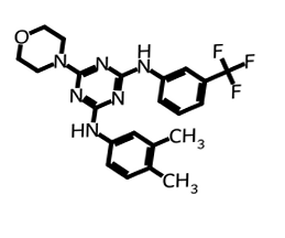 Cc1ccc(Nc2nc(Nc3cccc(C(F)(F)F)c3)nc(N3CCOCC3)n2)cc1C